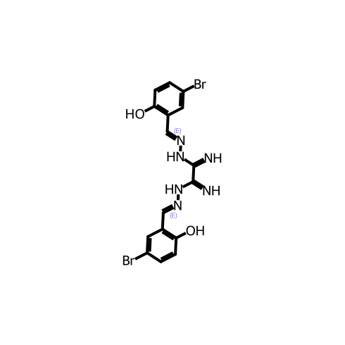 N=C(N/N=C/c1cc(Br)ccc1O)C(=N)N/N=C/c1cc(Br)ccc1O